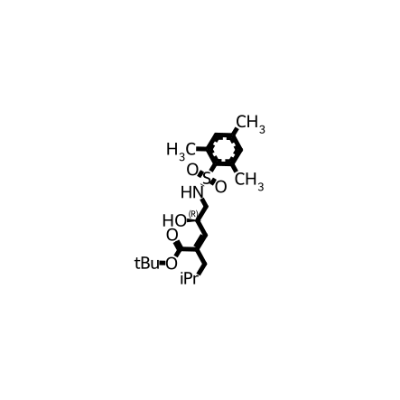 Cc1cc(C)c(S(=O)(=O)NC[C@H](O)C=C(CC(C)C)C(=O)OC(C)(C)C)c(C)c1